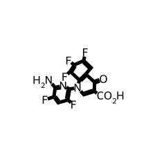 Nc1nc(-n2cc(C(=O)O)c(=O)c3cc(F)c(F)c(F)c32)c(F)cc1F